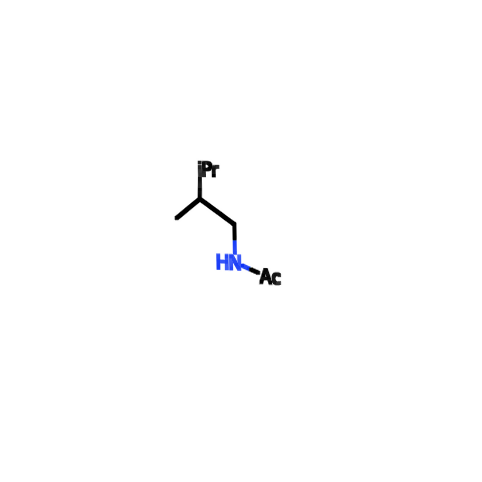 [CH2]C(=O)NCC(C)C(C)C